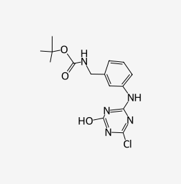 CC(C)(C)OC(=O)NCc1cccc(Nc2nc(O)nc(Cl)n2)c1